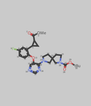 COC(=O)C1CC1c1cc(F)ccc1Oc1cncnc1N1CCC2(CCN(C(=O)OC(C)(C)C)C2)C1